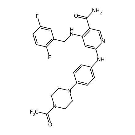 NC(=O)c1cnc(Nc2ccc(N3CCN(C(=O)C(F)(F)F)CC3)cc2)cc1NCc1cc(F)ccc1F